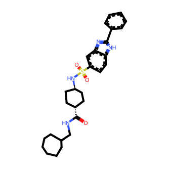 O=C(NCC1CCCCCC1)[C@H]1CC[C@H](NS(=O)(=O)c2ccc3[nH]c(-c4ccccc4)nc3c2)CC1